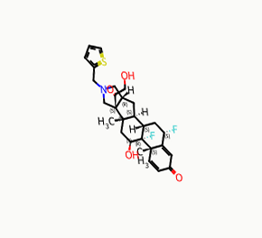 C[C@]12C=CC(=O)C=C1[C@@H](F)C[C@H]1[C@@H]3C[C@H]4CN(Cc5cccs5)C[C@@]4(C(=O)CO)[C@@]3(C)C[C@H](O)[C@@]12F